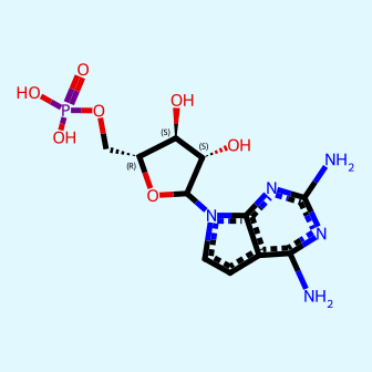 Nc1nc(N)c2ccn(C3O[C@H](COP(=O)(O)O)[C@@H](O)[C@@H]3O)c2n1